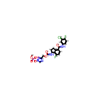 COP(=O)(O)On1cnc(COC(=O)N[C@H]2CCc3c(C(=O)Nc4ccc(F)c(Cl)c4)ccc(F)c32)n1